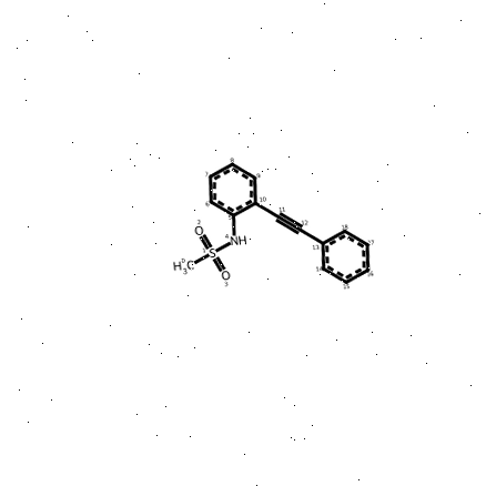 CS(=O)(=O)Nc1ccccc1C#Cc1ccccc1